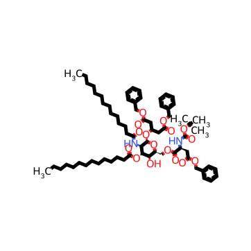 CCCCCCCCCCCCCC(=O)N[C@H]1[C@@H](OC(CC(=O)OCc2ccccc2)CC(=O)OCc2ccccc2)O[C@H](COC(=O)[C@H](CC(=O)OCc2ccccc2)NC(=O)OC(C)(C)C)[C@@H](O)[C@@H]1OC(=O)CCCCCCCCCCCCC